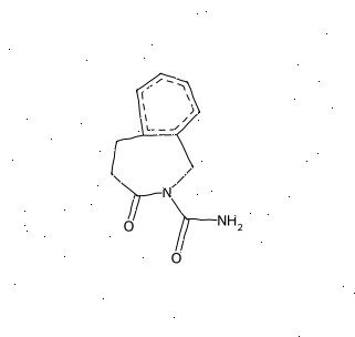 NC(=O)N1Cc2ccccc2CCC1=O